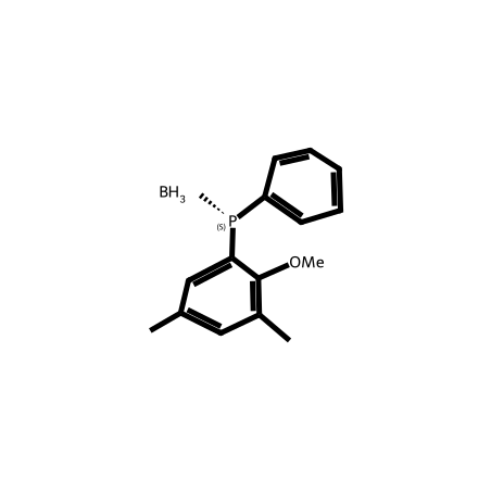 B.COc1c(C)cc(C)cc1[P@](C)c1ccccc1